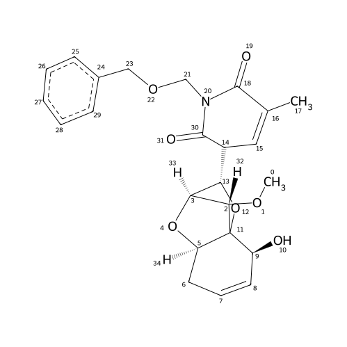 CO[C@H]1[C@H]2O[C@@H]3CC=C[C@H](O)C31O[C@H]2C1C=C(C)C(=O)N(COCc2ccccc2)C1=O